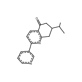 CC(C)C1CC(=O)c2ccc(-c3cccnc3)nc2C1